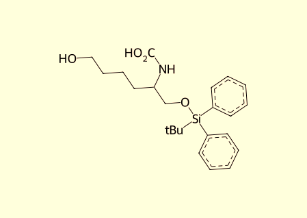 CC(C)(C)[Si](OCC(CCCCO)NC(=O)O)(c1ccccc1)c1ccccc1